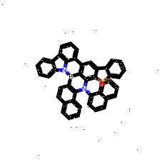 c1ccc2c(N3c4c(ccc5ccccc45)B4c5c(cc6c(sc7ccccc76)c53)-c3cccc5c6ccccc6n4c35)cccc2c1